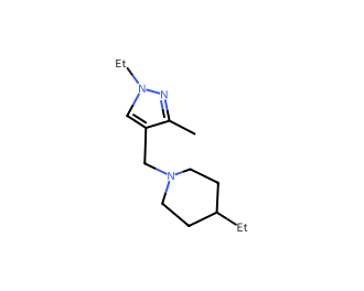 CCC1CCN(Cc2cn(CC)nc2C)CC1